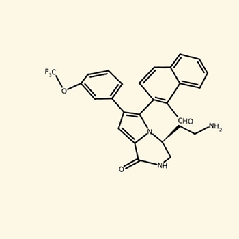 NCC[C@H]1CNC(=O)c2cc(-c3cccc(OC(F)(F)F)c3)c(-c3ccc4ccccc4c3C=O)n21